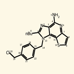 CCCCc1nc2c(N)nc3ccsc3c2n1Cc1ccc(CCl)cc1